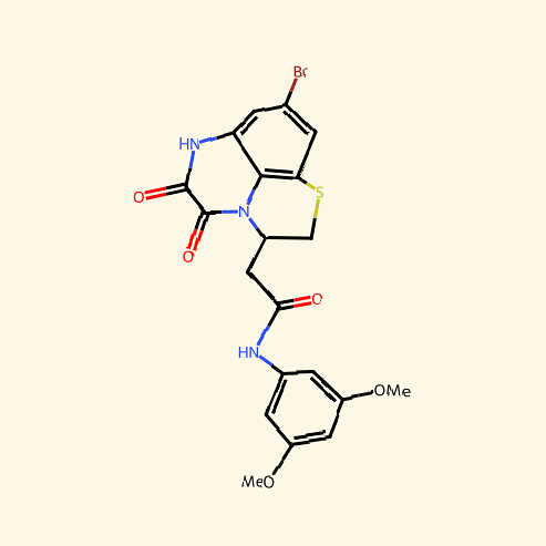 COc1cc(NC(=O)CC2CSc3cc(Br)cc4[nH]c(=O)c(=O)n2c34)cc(OC)c1